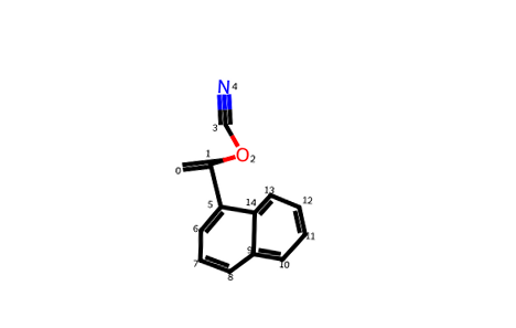 C=C(OC#N)c1cccc2ccccc12